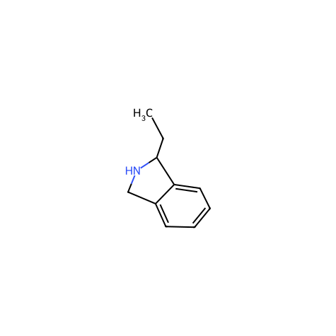 CCC1NCc2ccccc21